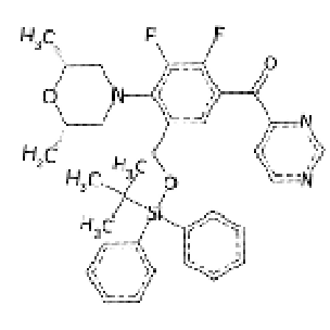 C[C@@H]1CN(c2c(CO[Si](c3ccccc3)(c3ccccc3)C(C)(C)C)cc(C(=O)c3ccncn3)c(F)c2F)C[C@H](C)O1